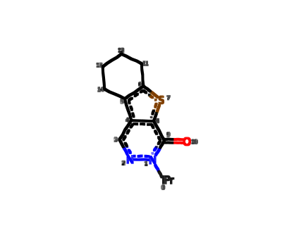 CC(C)n1ncc2c3c(sc2c1=O)CCCC3